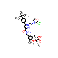 Cc1cc(CNC(=O)c2cc(-c3ccc(C(C)(C)C)cc3)n(CCN3CCOCC3)n2)ccc1OC(C)(C)C(=O)O.Cl